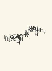 CC(C)(C)OC(=O)Nc1ccc(-c2cn(Cc3ccc(C(=O)NN)nn3)nn2)cn1